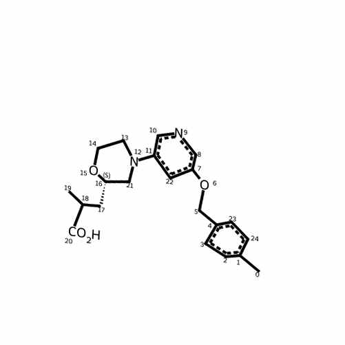 Cc1ccc(COc2cncc(N3CCO[C@@H](CC(C)C(=O)O)C3)c2)cc1